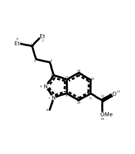 CCC(CC)CCc1nn(C)c2cc(C(=O)OC)ccc12